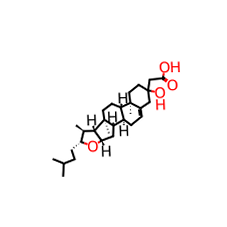 CC(C)CC[C@H]1O[C@H]2C[C@H]3[C@@H]4CC=C5CC(O)(CC(=O)O)CC[C@]5(C)[C@H]4CC[C@]3(C)[C@H]2[C@@H]1C